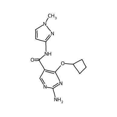 Cn1ccc(NC(=O)c2cnc(N)nc2OC2CCC2)n1